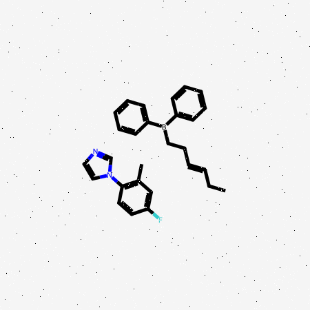 CCC=CCCB(c1ccccc1)c1ccccc1.Cc1cc(F)ccc1-n1ccnc1